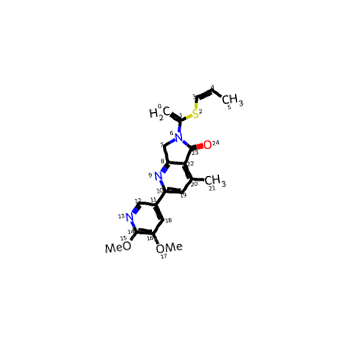 C=C(S/C=C\C)N1Cc2nc(-c3cnc(OC)c(OC)c3)cc(C)c2C1=O